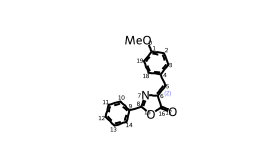 COc1ccc(/C=C2\N=C(c3ccccc3)OC2=O)cc1